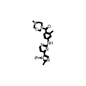 Cc1cc(Nc2nccc(-c3cnc(C)n3C(C)C)n2)ccc1C(=O)N1CCCN(C)CC1